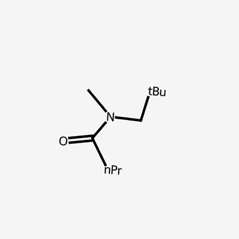 CCCC(=O)N(C)CC(C)(C)C